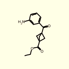 CCOC(=O)C12CC(C(=O)c3cccc(N)c3)(C1)C2